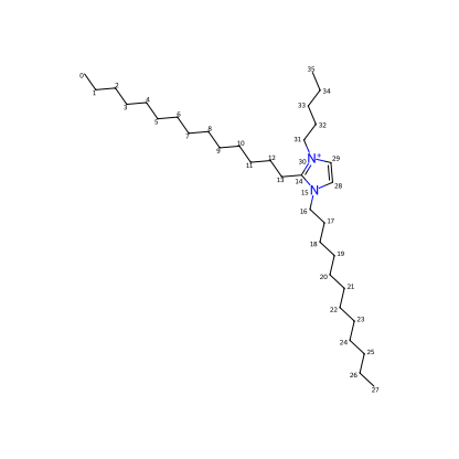 CCCCCCCCCCCCCCc1n(CCCCCCCCCCCC)cc[n+]1CCCCC